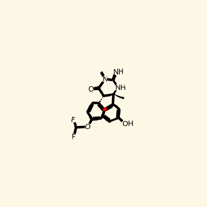 CN1C(=N)N[C@](C)(c2cccc(O)c2)[C@H](c2ccc(OC(F)F)cc2)C1=O